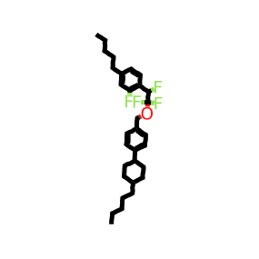 CCCCCc1ccc(C(F)C(F)(F)OCc2ccc(C3CCC(CCCCC)CC3)cc2)c(F)c1